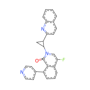 O=c1c2c(-c3ccncc3)cccc2c(F)cn1C1CC1c1ccc2ccccc2n1